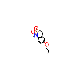 CCCOc1ccc2c(c1)CCS(=O)(=O)N2C